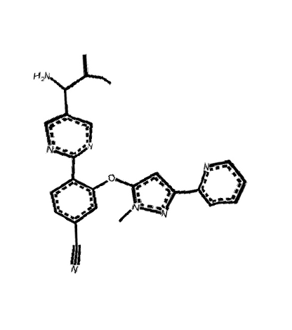 CC(C)C(N)c1cnc(-c2ccc(C#N)cc2Oc2cc(-c3ccccn3)nn2C)nc1